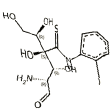 N[C@@H](C=O)[C@@H](O)[C@@](O)(C(=S)Nc1ccccc1I)[C@H](O)CO